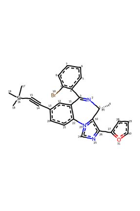 C[C@H]1N=C(c2ccccc2Br)c2cc(C#C[Si](C)(C)C)ccc2-n2cnc(-c3ccco3)c21